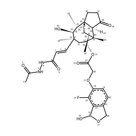 CC(=O)NNC(=O)/C=C/[C@]1(C)C[C@@H](OC(=O)COc2ccc3c(c2F)B(O)OC3)[C@]2(C)[C@H](C)CC[C@]3(CCC(=O)[C@H]32)[C@@H](C)[C@@H]1O